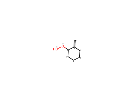 C=C1CCCCC1OO